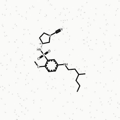 CCCC(C)CCNc1ccc(OC)c(S(=O)(=O)N[C@@H]2CCN(C#N)C2)c1